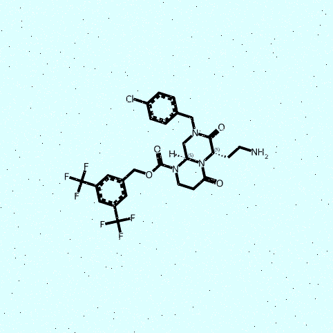 NCC[C@H]1C(=O)N(Cc2ccc(Cl)cc2)C[C@@H]2N(C(=O)OCc3cc(C(F)(F)F)cc(C(F)(F)F)c3)CCC(=O)N21